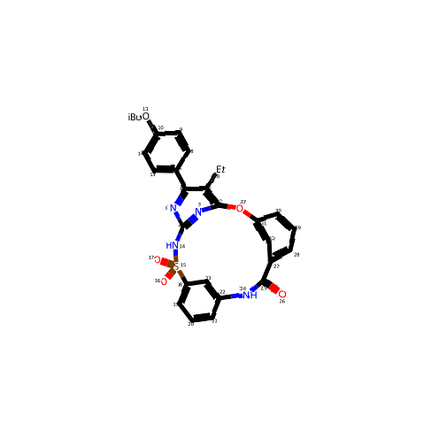 CCc1c2nc(nc1-c1ccc(OCC(C)C)cc1)NS(=O)(=O)c1cccc(c1)NC(=O)c1cccc(c1)O2